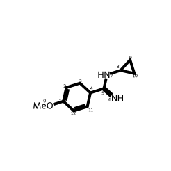 COC1=CCC(C(=N)NC2CC2)C=C1